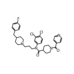 O=C(c1ccncc1)N1CCC(C(=O)N(CCCN2CCC(Cc3ccc(F)cc3)CC2)c2ccc(Cl)c(Cl)c2)CC1